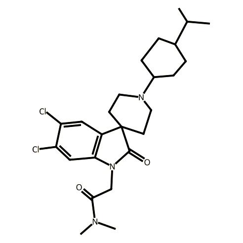 CC(C)C1CCC(N2CCC3(CC2)C(=O)N(CC(=O)N(C)C)c2cc(Cl)c(Cl)cc23)CC1